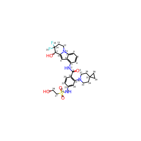 O=C(Nc1cccc2c1cc1n2CCC(F)(F)C1O)c1ccc(NS(=O)(=O)CCO)cc1N1CCC2(CC1)CC2